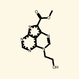 COC(=O)c1sc2ncnc3c2c1N=CN3CCO